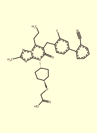 CCCc1c(Cc2ccc(-c3ccccc3C#N)cc2F)c(=O)n([C@H]2CC[C@H](OCC(=O)O)CC2)c2nc(C)nn12